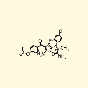 C[C@H](C(N)=O)N(c1nc(N)c(C(=O)c2ccc(OC(F)F)cc2)s1)c1ccc(Cl)cc1F